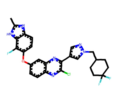 Cc1nc2ccc(Oc3ccc4nc(Cl)c(-c5cnn(CC6CCC(F)(F)CC6)c5)nc4c3)c(F)c2[nH]1